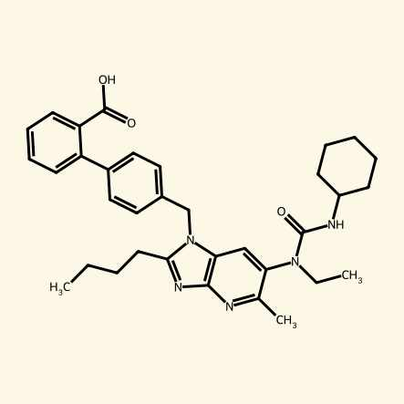 CCCCc1nc2nc(C)c(N(CC)C(=O)NC3CCCCC3)cc2n1Cc1ccc(-c2ccccc2C(=O)O)cc1